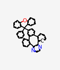 c1ccc(C2(c3ccc4c(c3)-c3ccccc3-c3nccnc3-c3ccccc3-4)c3ccccc3Oc3ccccc32)cc1